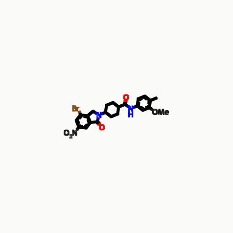 COc1cc(NC(=O)C2CCC(N3Cc4c(Br)cc([N+](=O)[O-])cc4C3=O)CC2)ccc1C